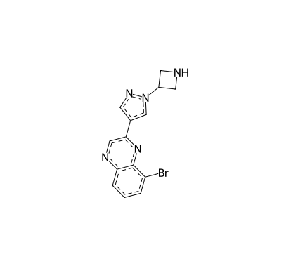 Brc1cccc2ncc(-c3cnn(C4CNC4)c3)nc12